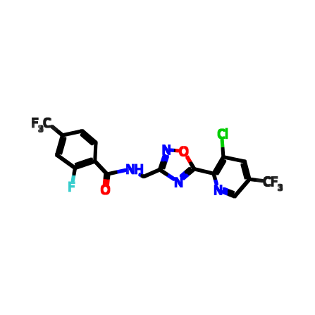 O=C(NCc1noc(-c2ncc(C(F)(F)F)cc2Cl)n1)c1ccc(C(F)(F)F)cc1F